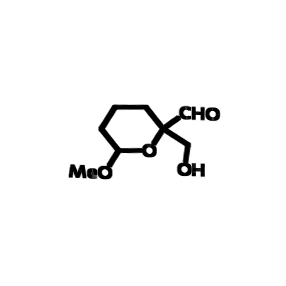 COC1CCCC(C=O)(CO)O1